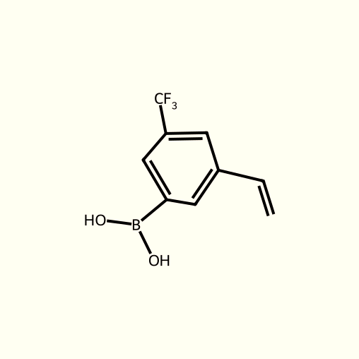 C=Cc1cc(B(O)O)cc(C(F)(F)F)c1